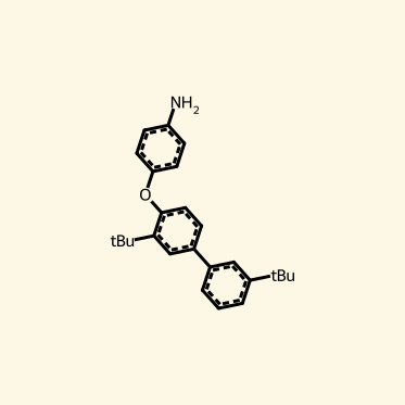 CC(C)(C)c1cccc(-c2ccc(Oc3ccc(N)cc3)c(C(C)(C)C)c2)c1